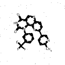 Cc1ccc(-c2ccc3ncc4c(=O)[nH]c(=O)n(-c5cccc(C(F)(F)F)c5)c4c3n2)cn1